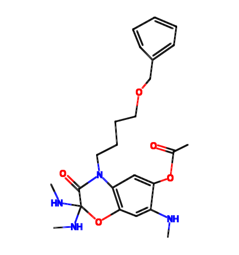 CNc1cc2c(cc1OC(C)=O)N(CCCCOCc1ccccc1)C(=O)C(NC)(NC)O2